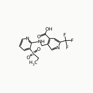 CCS(=O)(=O)c1cccnc1NCc1cnc(C(F)(F)F)cc1C(=O)O